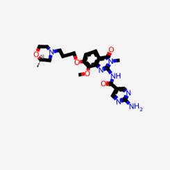 COc1c(OCCCN2CCO[C@@H](C)C2)ccc2c(=O)n(C)c(NC(=O)c3cnc(N)nc3)nc12